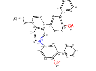 C=C/C=C(\C=C/Cc1ccc(O)c(-c2ccccc2)c1)c1cc[n+](-c2ccc(O)c(-c3ccccc3)c2)cc1